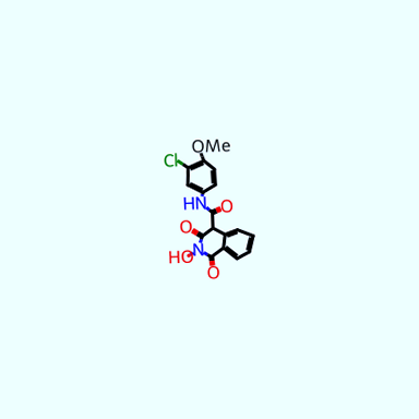 COc1ccc(NC(=O)C2C(=O)N(O)C(=O)c3ccccc32)cc1Cl